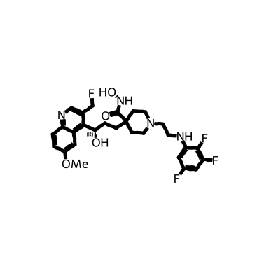 COc1ccc2ncc(CF)c([C@H](O)CCC3(C(=O)NO)CCN(CCNc4cc(F)cc(F)c4F)CC3)c2c1